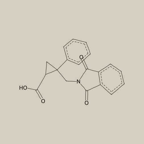 O=C(O)C1CC1(CN1C(=O)c2ccccc2C1=O)c1ccccc1